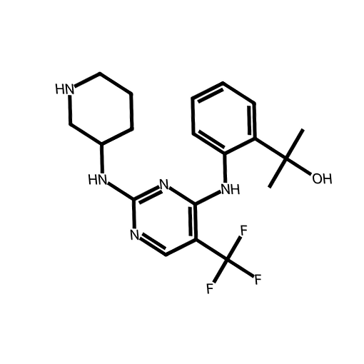 CC(C)(O)c1ccccc1Nc1nc(NC2CCCNC2)ncc1C(F)(F)F